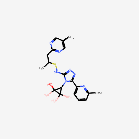 BC1(B)C(n2c(NSC(C)Cc3ncc(C)cn3)nnc2-c2cccc(OC)n2)C1(B)O